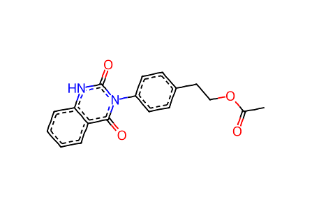 CC(=O)OCCc1ccc(-n2c(=O)[nH]c3ccccc3c2=O)cc1